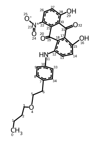 CCCCOCCc1ccc(Nc2ccc(O)c3c2C(=O)c2c([N+](=O)[O-])ccc(O)c2C3=O)cc1